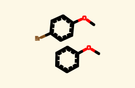 COc1ccc(Br)cc1.COc1ccccc1